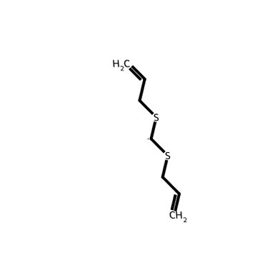 C=CCS[CH]SCC=C